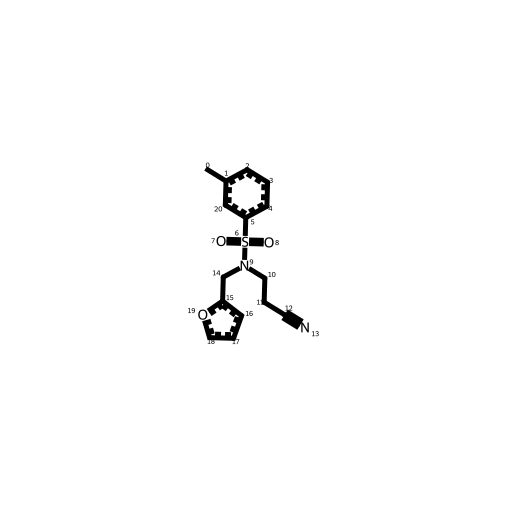 Cc1cccc(S(=O)(=O)N(CCC#N)Cc2ccco2)c1